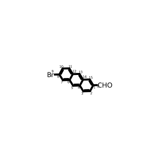 O=Cc1ccc2cc3cc(Br)ccc3cc2c1